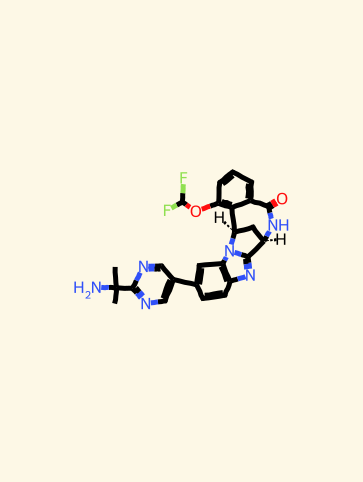 CC(C)(N)c1ncc(-c2ccc3nc4n(c3c2)[C@@H]2C[C@H]4NC(=O)c3cccc(OC(F)F)c32)cn1